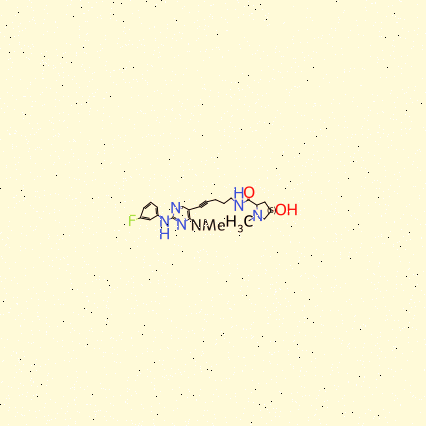 CNc1nc(Nc2cccc(F)c2)ncc1C#CCCCNC(=O)C1C[C@H](O)CN1C